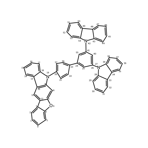 c1ccc2c(c1)oc1cc3c(cc12)c1ccccc1n3-c1ccc(-c2cc(-n3c4ccccc4c4ccccc43)cc(-n3c4ccccc4c4ccccc43)c2)cc1